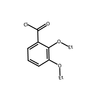 CCOc1cccc(C(=O)Cl)c1OCC